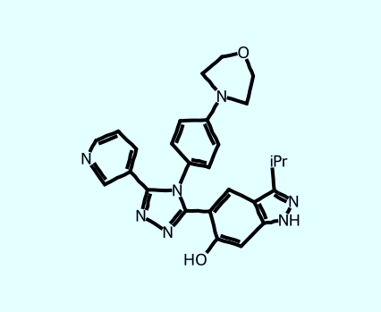 CC(C)c1n[nH]c2cc(O)c(-c3nnc(-c4cccnc4)n3-c3ccc(N4CCOCC4)cc3)cc12